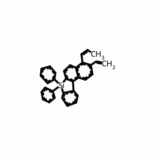 C=Cc1ccc2c3c(ccc2c1/C=C\C)[Si](c1ccccc1)(c1ccccc1)c1ccccc1-3